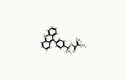 C=C(C)C(=O)OC(C)c1ccc(-c2c3ccccc3nc3ccccc23)cc1